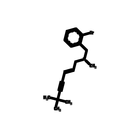 CN(CC=CC#CC(C)(C)C)Cc1ccccc1Br